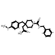 COc1ccc(CC2(CC(=O)O)CCN(C(=O)OCc3ccccc3)CC2)cc1